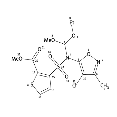 CCOC(OC)N(c1onc(C)c1Cl)S(=O)(=O)c1ccsc1C(=O)OC